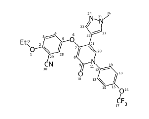 CCOc1ccc(Oc2cc(=O)n(-c3ccc(OC(F)(F)F)cc3)cc2-c2cnn(C)c2)cc1C#N